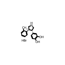 Br.Cc1ccccc1[C@H]1CNC[C@@H]1c1ccc(O)c(O)c1